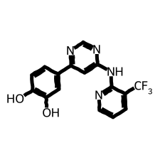 Oc1ccc(-c2cc(Nc3ncccc3C(F)(F)F)ncn2)cc1O